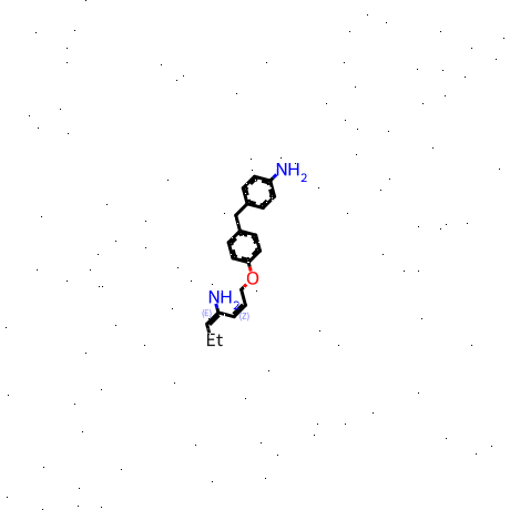 CC/C=C(N)\C=C/COc1ccc(Cc2ccc(N)cc2)cc1